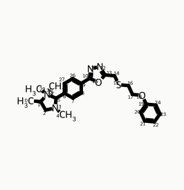 CC1CN(C)C(c2ccc(-c3nnc(CSCCOc4ccccc4)o3)cc2)[N+]1(C)C